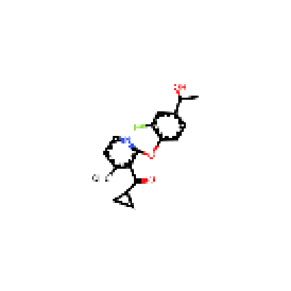 CC(O)c1ccc(Oc2nccc(C=O)c2C(=O)C2CC2)c(F)c1